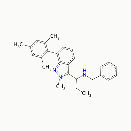 CCC(NCc1ccccc1)c1c2cccc(-c3c(C)cc(C)cc3C)c2nn1C